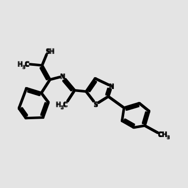 C/C(S)=C(/N=C(\C)c1cnc(-c2ccc(C)cc2)s1)c1ccccc1